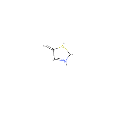 C=C1C=NCS1